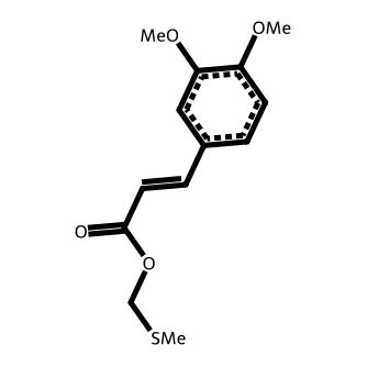 COc1ccc(C=CC(=O)OCSC)cc1OC